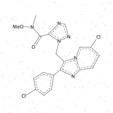 CON(C)C(=O)c1ncnn1Cc1c(-c2ccc(Cl)cc2)nc2ccc(Cl)cn12